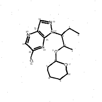 CCC(C(C)OC1CCCCO1)n1ncc2ncc(Cl)nc21